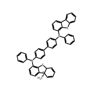 C[C@]12C=CC=CC1Sc1c(N(c3ccccc3)c3ccc(-c4ccc(N(c5ccccc5)c5cccc6c5sc5ccccc56)cc4)cc3)cccc12